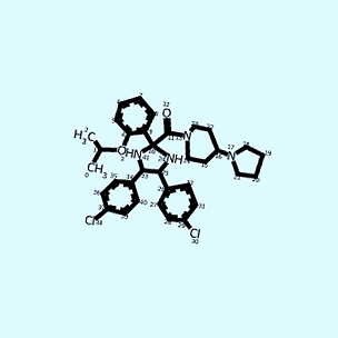 CC(C)Oc1ccccc1C1(C(=O)N2CCC(N3CCCC3)CC2)NC(c2ccc(Cl)cc2)C(c2ccc(Cl)cc2)N1